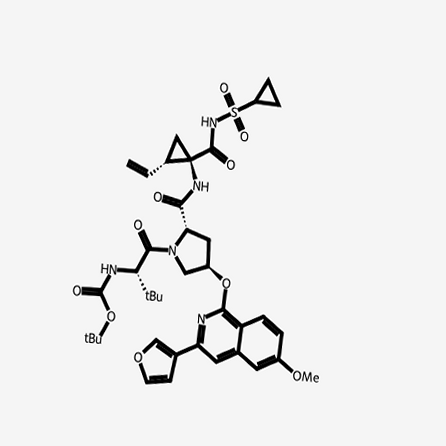 C=C[C@@H]1C[C@]1(NC(=O)[C@@H]1C[C@@H](Oc2nc(-c3ccoc3)cc3cc(OC)ccc23)CN1C(=O)[C@@H](NC(=O)OC(C)(C)C)C(C)(C)C)C(=O)NS(=O)(=O)C1CC1